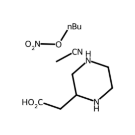 CC#N.CCCCO[N+](=O)[O-].O=C(O)CC1CNCCN1